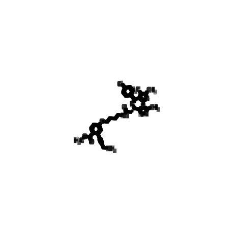 COC(=O)c1ccc(OCCCCNC(=O)C[C@@H]2N=C(c3ccc(Cl)cc3)c3c(sc(C)c3C)-n3c(C)nnc32)cc1C#CCN